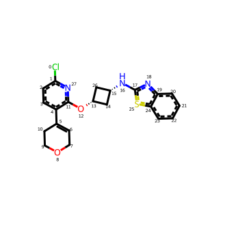 Clc1ccc(C2=CCOCC2)c(O[C@H]2C[C@@H](Nc3nc4ccccc4s3)C2)n1